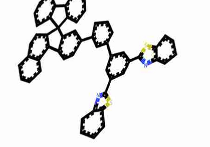 c1cc(-c2cc(-c3nc4ccccc4s3)cc(-c3nc4ccccc4s3)c2)cc(-c2ccc3c(c2)C2(c4ccccc4-c4ccccc42)c2ccc4ccccc4c2-3)c1